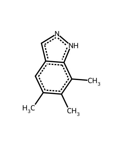 Cc1cc2cn[nH]c2c(C)c1C